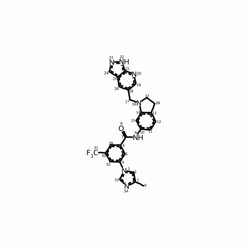 Cc1cn(-c2cc(C(=O)Nc3ccc4c(c3)N(Cc3cnc5[nH]ncc5c3)CC4)cc(C(F)(F)F)c2)cn1